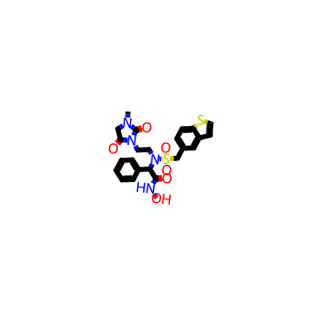 CN1CC(=O)N(CCN(C(C(=O)NO)c2ccccc2)S(=O)(=O)Cc2ccc3sccc3c2)C1=O